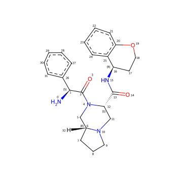 N[C@H](C(=O)N1C[C@H]2CCCN2C[C@H]1C(=O)N[C@@H]1CCOc2ccccc21)c1ccccc1